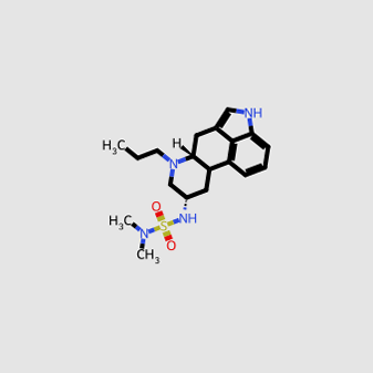 CCCN1C[C@@H](NS(=O)(=O)N(C)C)CC2c3cccc4[nH]cc(c34)C[C@H]21